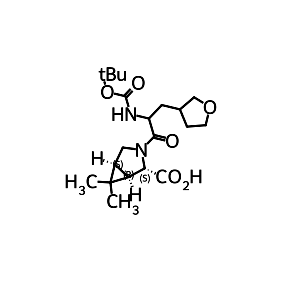 CC(C)(C)OC(=O)NC(CC1CCOC1)C(=O)N1C[C@H]2[C@@H]([C@H]1C(=O)O)C2(C)C